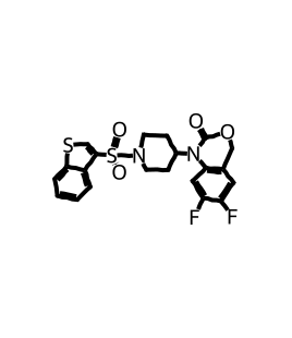 O=C1OCc2cc(F)c(F)cc2N1C1CCN(S(=O)(=O)c2csc3ccccc23)CC1